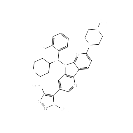 COc1nnn(C)c1-c1cnc2c3ccc(N4CCN(C)CC4)nc3n([C@H](c3ccccc3F)C3CCOCC3)c2c1